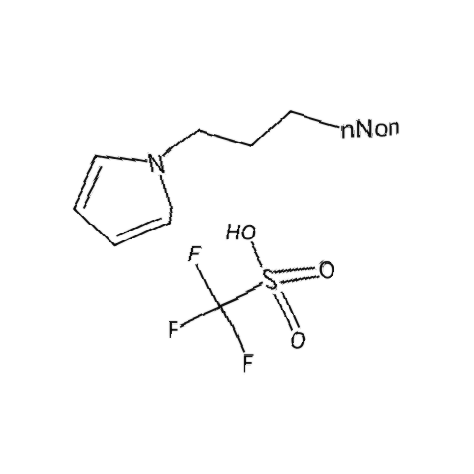 CCCCCCCCCCCCn1cccc1.O=S(=O)(O)C(F)(F)F